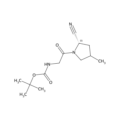 CC1C[C@@H](C#N)N(C(=O)CNC(=O)OC(C)(C)C)C1